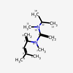 C=C(C=C(C)C)N(C)C(=C)N(C)C(C)C